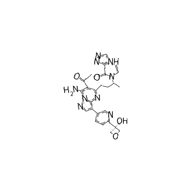 C=CN(C(=O)c1nnc[nH]1)C(C)CCc1nc2c(-c3ccc(C4(O)COC4)nc3)cnn2c(N)c1C(C)=O